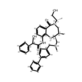 C[C@@H]1CN([C@@H](C)CO)C(=O)c2cccc(NC(=O)C(O)c3ccccc3)c2O[C@@H]1CN(C)Cc1ccc(-c2ccccc2)cc1